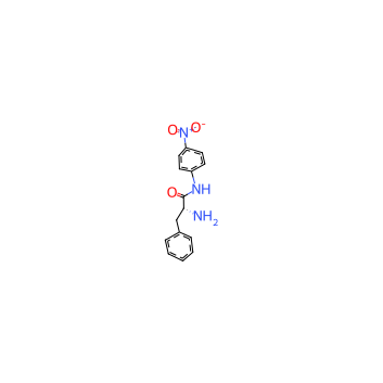 N[C@H](Cc1ccccc1)C(=O)Nc1ccc([N+](=O)[O-])cc1